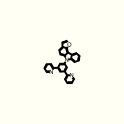 c1ccc(-c2cc(-c3ccccn3)cc(-n3c4ccccc4c4c5occc5ccc43)c2)nc1